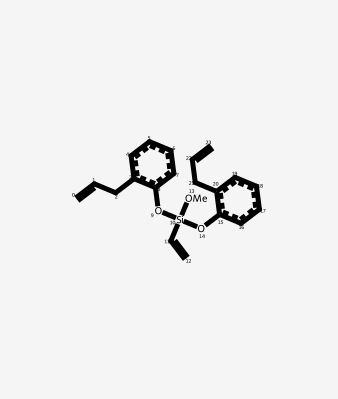 C=CCc1ccccc1O[Si](C=C)(OC)Oc1ccccc1CC=C